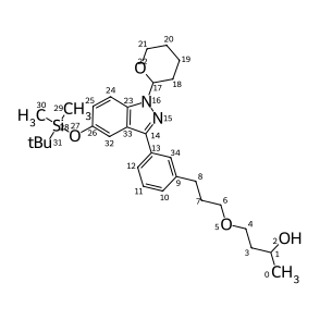 CC(O)CCOCCCc1cccc(-c2nn(C3CCCCO3)c3ccc(O[Si](C)(C)C(C)(C)C)cc23)c1